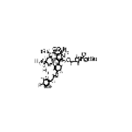 Cc1nc(COCC2CN(C(=O)OC(C)(C)C)C2)c(-c2ccc(OCCc3ccc(F)cc3)cc2)c(N2CCC(C)(C)CC2)c1[C@H](OC(C)(C)C)C(=O)O